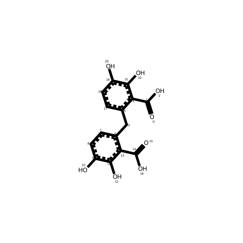 O=C(O)c1c(Cc2ccc(O)c(O)c2C(=O)O)ccc(O)c1O